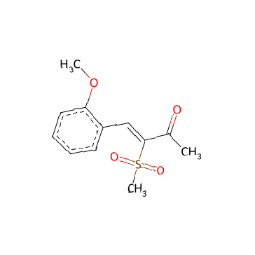 COc1ccccc1C=C(C(C)=O)S(C)(=O)=O